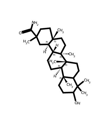 CC1(C(N)=O)CC[C@]2(C)CC[C@]3(C)[C@H](CC[C@@H]4[C@@]5(C)CCC(O)C(C)(C)C5CC[C@]43C)[C@H]2C1